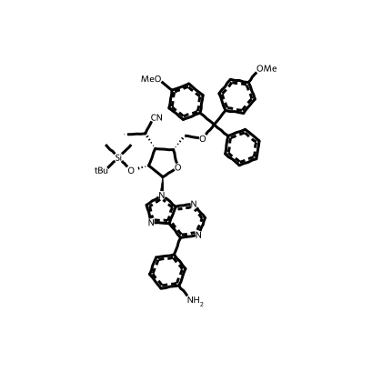 [CH2]C(C#N)[C@H]1[C@@H](O[Si](C)(C)C(C)(C)C)[C@H](n2cnc3c(-c4cccc(N)c4)ncnc32)O[C@H]1COC(c1ccccc1)(c1ccc(OC)cc1)c1ccc(OC)cc1